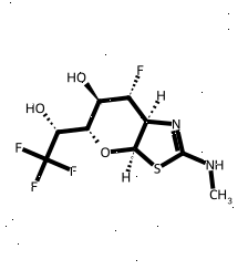 CNC1=N[C@@H]2[C@@H](F)[C@H](O)[C@@H]([C@@H](O)C(F)(F)F)O[C@@H]2S1